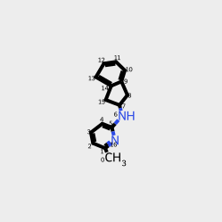 Cc1cccc(NC2Cc3ccccc3C2)n1